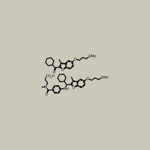 CSCCCOc1ccc2oc(C(=O)C3CCCCC3)c(C)c2c1.CSCCCOc1ccc2oc(C(Nc3ccc(C(=O)N(C)CCC(=O)O)cc3)C3CCCCC3)c(C)c2c1